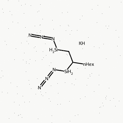 CCCCCCC(C[SiH2]N=[N+]=[N-])[SiH2]N=[N+]=[N-].[KH]